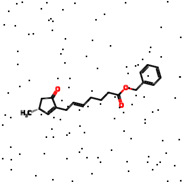 C[C@H]1C=C(C/C=C/CCCC(=O)OCc2ccccc2)C(=O)C1